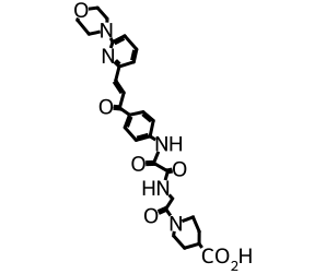 O=C(NCC(=O)N1CCC(C(=O)O)CC1)C(=O)Nc1ccc(C(=O)C=Cc2cccc(N3CCOCC3)n2)cc1